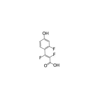 O=C(O)/C(F)=C(\F)c1ccc(O)cc1F